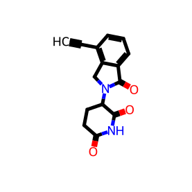 C#Cc1cccc2c1CN(C1CCC(=O)NC1=O)C2=O